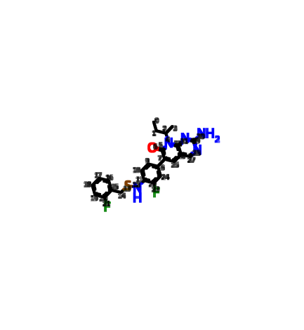 CCC(C)n1c(=O)c(-c2ccc(NSCc3ccccc3F)c(F)c2)cc2cnc(N)nc21